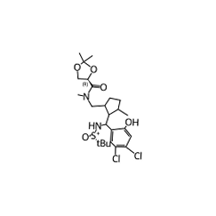 CC1CCC(CN(C)C(=O)[C@H]2COC(C)(C)O2)C1C(N[S+]([O-])C(C)(C)C)c1cc(Cl)c(Cl)cc1O